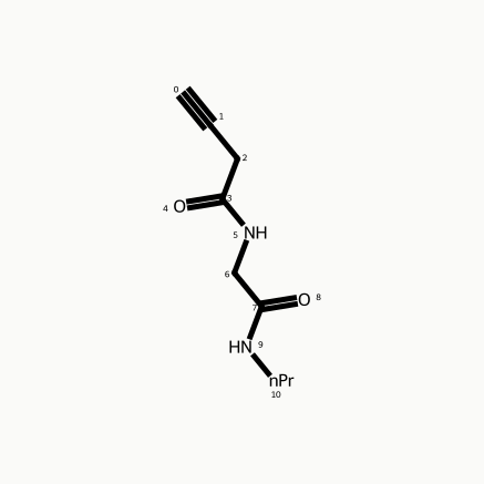 C#CCC(=O)NCC(=O)NCCC